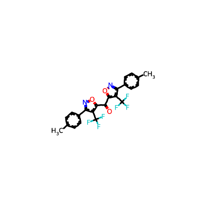 Cc1ccc(-c2noc(C(=O)c3onc(-c4ccc(C)cc4)c3C(F)(F)F)c2C(F)(F)F)cc1